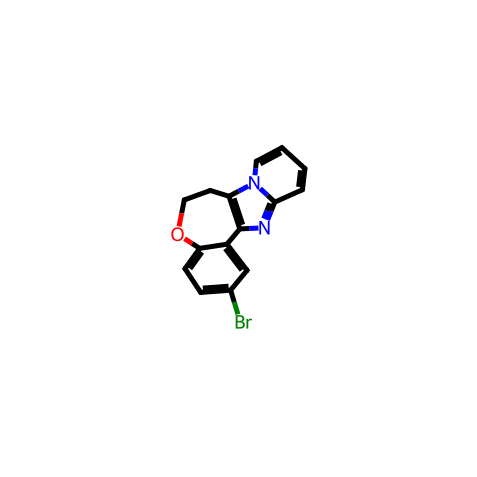 Brc1ccc2c(c1)-c1nc3ccccn3c1CCO2